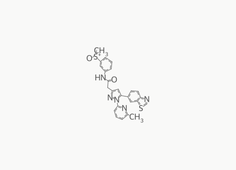 Cc1cccc(-n2nc(CC(=O)Nc3cccc([S+](C)[O-])c3)cc2-c2ccc3ncsc3c2)n1